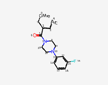 COCC(CC(C)=O)C(=O)N1CCN(c2cccc(F)c2)CC1